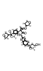 C=S(=O)(c1ccc(C2(C(=O)Nc3nc4ccc(N(C)CCO)nc4s3)C=C2O[C@@H]2CCOC2)cc1)[C@H]1CCOC1